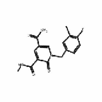 CNC(=O)c1cc(C(N)=O)cn(Cc2ccc(F)c(C)c2)c1=O